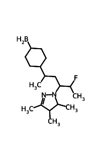 BC1CCC(C(C)CC(C(C)F)N2N=C(C)C(C)C2C)CC1